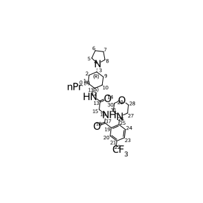 CCC[C@@H]1C[C@H](N2CCCC2)CC[C@@H]1NC(=O)CNC(=O)c1cc(C(F)(F)F)ccc1N1CCOCC1